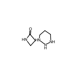 C1CNNNC1.O=C1CCN1